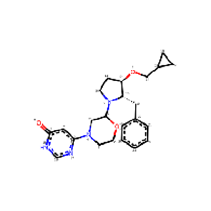 O=c1cc(N2CCOC(N3CC[C@@H](OCC4CC4)[C@@H]3Cc3ccccc3)C2)nc[nH]1